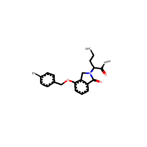 CCc1ccc(COc2cccc3c2CN(C(CCC=O)C(=O)NC)C3=O)cc1